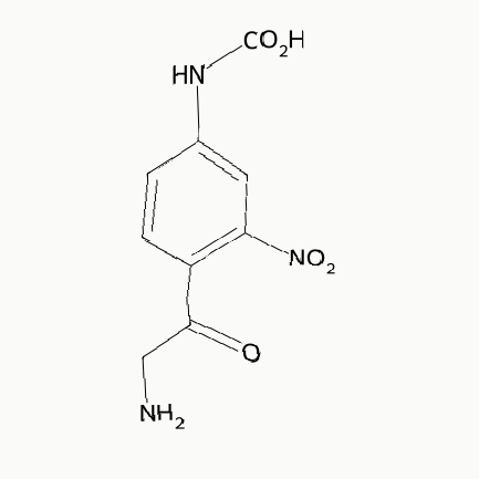 NCC(=O)c1ccc(NC(=O)O)cc1[N+](=O)[O-]